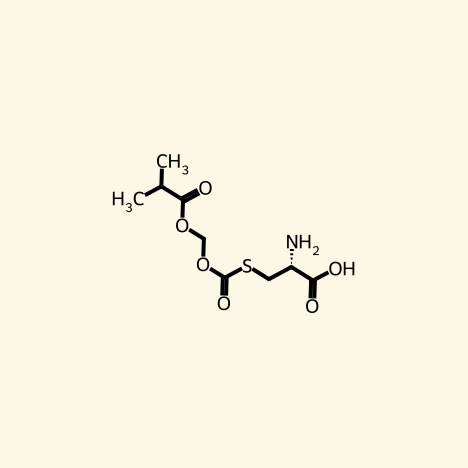 CC(C)C(=O)OCOC(=O)SC[C@H](N)C(=O)O